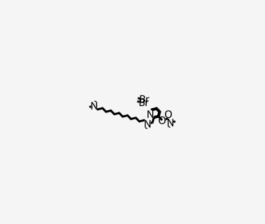 CBr.CBr.CN(C)CCCCCCCCCCCCN(C)Cc1ncccc1OC(=O)N(C)C